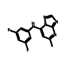 Cc1cc(Nc2cc(F)cc(F)c2)n2ncnc2n1